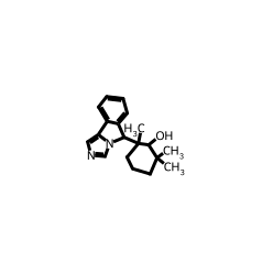 CC1(C)CCCC(C)(C2c3ccccc3-c3cncn32)C1O